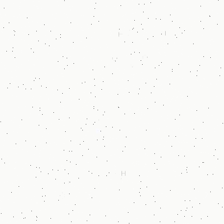 CC(C)OC(=O)CCC/C=C/CC1C(O)CC2OC21